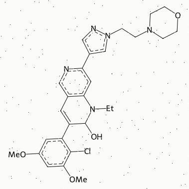 CCN1c2cc(-c3cnn(CCN4CCOCC4)c3)ncc2C=C(c2cc(OC)cc(OC)c2Cl)C1O